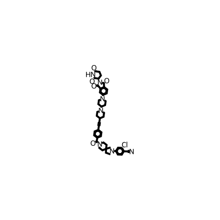 N#Cc1ccc(N2CCC3(CCN(C(=O)c4ccc(C#CC5CCN(C6CCN(c7ccc8c(c7)C(=O)N(C7CCC(=O)NC7=O)C8=O)CC6)CC5)cc4)CC3)C2)cc1Cl